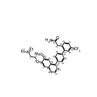 CCN(CC)CCOc1cc2ncnc(-c3ccc(-c4cc(C(F)(F)F)ccc4CC(N)=O)cc3)c2cc1OC